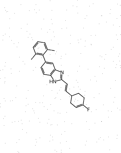 Cc1cccc(C)c1-c1ccc2[nH]c(C=CC3CC=C(F)CC3)nc2c1